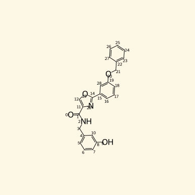 O=C(NCc1cccc(O)c1)c1coc(-c2cccc(OCc3ccccc3)c2)n1